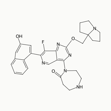 O=C1CCNCCN1c1nc(OCC23CCCN2CCC3)nc2c(F)c(-c3cc(O)cc4ccccc34)ncc12